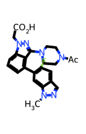 CC(=O)N1CCN(c2nn(CC(=O)O)c3cccc(-c4cc5c(cnn5C)cc4F)c23)CC1